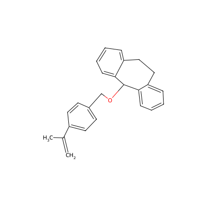 C=C(C)c1ccc(COC2c3ccccc3CCc3ccccc32)cc1